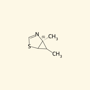 CC1C2SC=N[C@@]12C